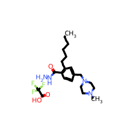 CCCCCCc1cc(CN2CCN(C)CC2)ccc1C(=O)NN.O=C(O)C(F)(F)F